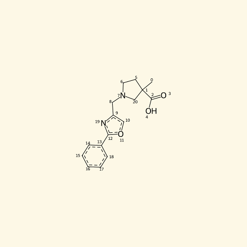 CC1(C(=O)O)CCN(Cc2coc(-c3ccccc3)n2)C1